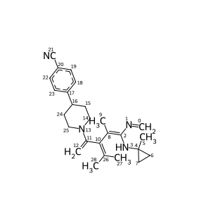 C=N/C(NC1(C)CC1)=C(\C)C(C(=C)N1CCC(c2ccc(C#N)cc2)CC1)=C(C)C